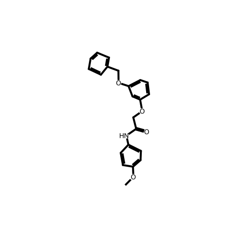 COc1ccc(NC(=O)COc2cccc(OCc3ccccc3)c2)cc1